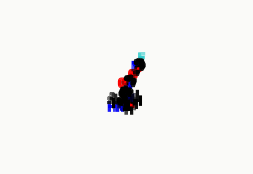 [2H]C1([2H])CNC([2H])([2H])c2c1n(C([2H])([2H])[2H])c1cc(-n3ccc(OCc4ccc(F)cn4)cc3=O)ccc21